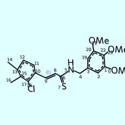 COc1cc(CNC(=S)/C=C/c2ccc(C)c(C)c2Cl)cc(OC)c1OC